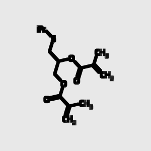 C=C(C)C(=O)OCC(CSC(C)C)OC(=O)C(=C)C